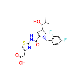 CC(C)C(O)c1cc(C(=O)Nc2nc(CC(=O)O)cs2)n(Cc2ccc(F)cc2F)c1